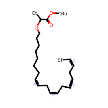 CC/C=C\C/C=C\C/C=C\C/C=C\CCCCCCCOC(CC)C(=O)OC(C)(C)C